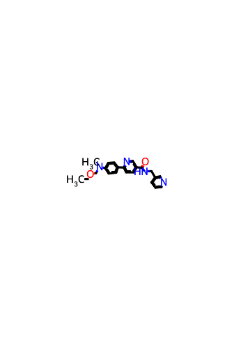 CCOCN(C)c1ccc(-c2ccc(C(=O)NCc3cccnc3)cn2)cc1